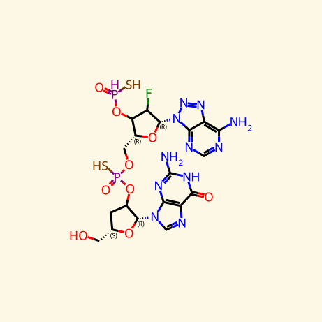 Nc1nc2c(ncn2[C@@H]2O[C@H](CO)CC2OP(=O)(S)OC[C@H]2O[C@@H](n3nnc4c(N)ncnc43)C(F)C2O[PH](=O)S)c(=O)[nH]1